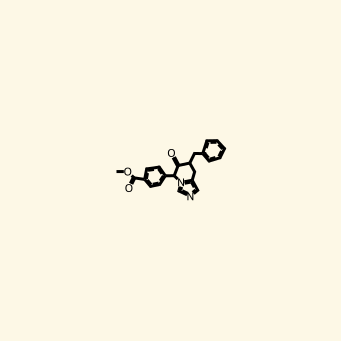 COC(=O)c1ccc(C2C(=O)C(Cc3ccccc3)Cc3cncn32)cc1